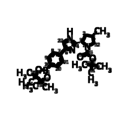 C[C@@H]1C[C@@H](c2nc(-c3ccc(B4OC(C)(C)C(C)(C)O4)cc3)c[nH]2)N(C(=O)OC(C)(C)C)C1